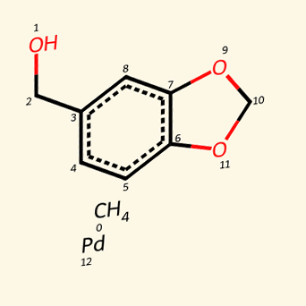 C.OCc1ccc2c(c1)OCO2.[Pd]